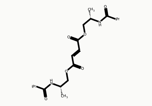 CC(C)C(=O)N[C@@H](C)COC(=O)/C=C/C(=O)OC[C@H](C)NC(=O)C(C)C